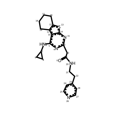 O=C(Cc1nc(NC2CC2)c2c3c(sc2n1)CCCC3)NCCc1ccncc1